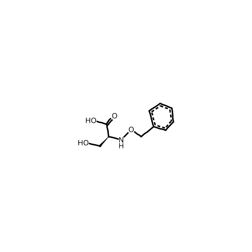 O=C(O)[C@H](CO)NOCc1ccccc1